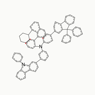 c1ccc(-n2c3ccccc3c3ccc(-c4cccc(N(c5ccc(-c6ccc7c(c6)C(c6ccccc6)(c6ccccc6)c6ccccc6-7)cc5)c5ccccc5-c5cccc6cccc(C7CCCCC7)c56)c4)cc32)cc1